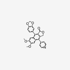 COc1cc2c(-c3ccncc3)c3c(c(-c4ccc5c(c4)OCO5)c2cc1OC)C(=O)OC3